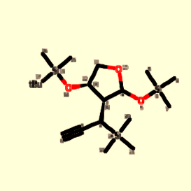 C#CC([C@@H]1C(O[Si](C)(C)C)OC[C@@H]1O[Si](C)(C)C(C)(C)C)[Si](C)(C)C